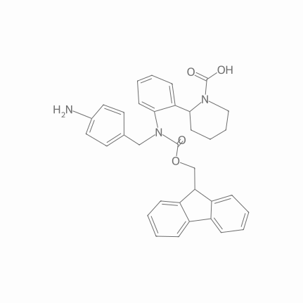 Nc1ccc(CN(C(=O)OCC2c3ccccc3-c3ccccc32)c2ccccc2C2CCCCN2C(=O)O)cc1